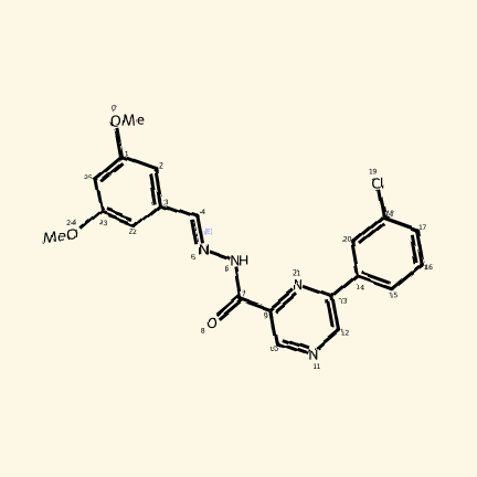 COc1cc(/C=N/NC(=O)c2cncc(-c3cccc(Cl)c3)n2)cc(OC)c1